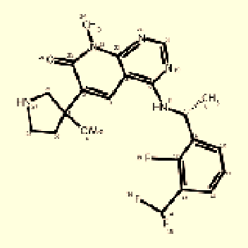 COC1(c2cc3c(N[C@H](C)c4cccc(C(F)F)c4F)ncnc3n(C)c2=O)CCNC1